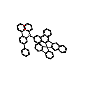 c1ccc(-c2ccc(-c3ccccc3)c(N(c3ccccc3)c3ccc4c5c(c6ccccc6c4c3)-c3cc4ccccc4cc3C53c4ccccc4-c4ccccc43)c2)cc1